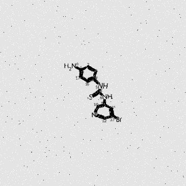 Nc1ccc(NC(=S)Nc2cncc(Br)c2)cc1